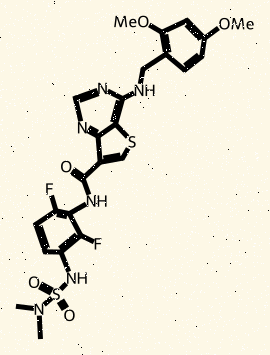 COc1ccc(CNc2ncnc3c(C(=O)Nc4c(F)ccc(NS(=O)(=O)N(C)C)c4F)csc23)c(OC)c1